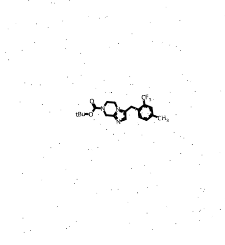 Cc1ccc(Cc2cnc3n2CCN(C(=O)OC(C)(C)C)C3)c(C(F)(F)F)c1